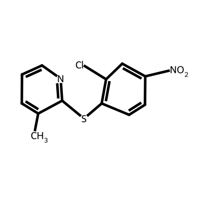 Cc1cccnc1Sc1ccc([N+](=O)[O-])cc1Cl